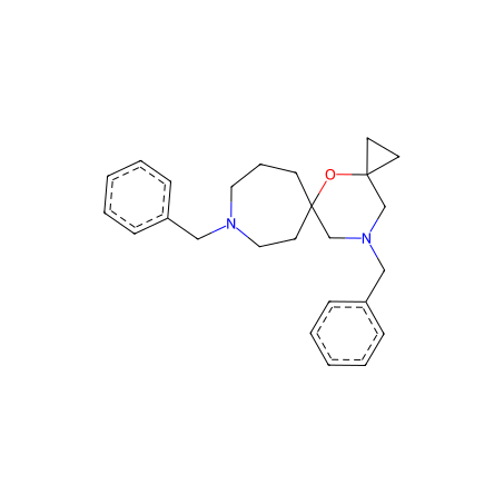 c1ccc(CN2CCCC3(CC2)CN(Cc2ccccc2)CC2(CC2)O3)cc1